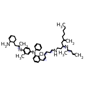 C=C/C=C(C)/N=C(\CCN/C=C/C=C\C=C/c1cccc(N(c2ccccc2)c2ccc(/N=C(\C)CC3CCC=CC3N)c(C)c2)c1Cl)CC(=C)CCCCC